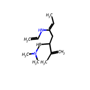 C=CN/C(=C\C)CC(BN(C)C)C(=C)C